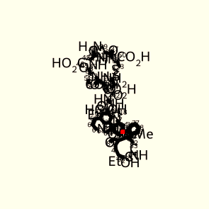 CC[C@]1(O)CCC[C@](C(=O)OC)(c2cc3c(cc2OC)N(C)[C@H]2[C@@](O)(C(=O)NNC(=O)OCCSSC[C@H](NC(=O)[C@H](CN)NC(=O)[C@@H](CC(=O)O)NC(=O)[C@@H](CC(=O)O)NC(=O)[C@H](N)CC(=O)O)C(=O)O)[C@H](O)[C@]4(CC)C=CCN5CC[C@]32[C@@H]54)c2[nH]c3ccccc3c2CCNC1